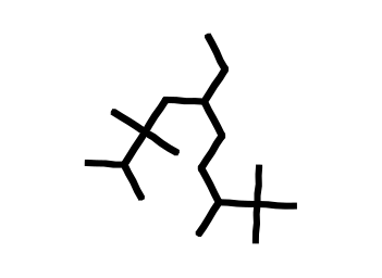 CCC(CCC(C)C(C)(C)C)CC(C)(C)[C](C)C